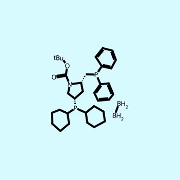 BB.CC(C)(C)OC(=O)N1C[C@@H](P(C2CCCCC2)C2CCCCC2)C[C@H]1CP(c1ccccc1)c1ccccc1